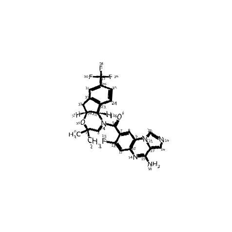 CC1(C)CN(C(=O)c2cc3c(cc2F)nc(N)c2cncn23)[C@H]2c3ccc(C(F)(F)F)cc3C[C@H]2O1